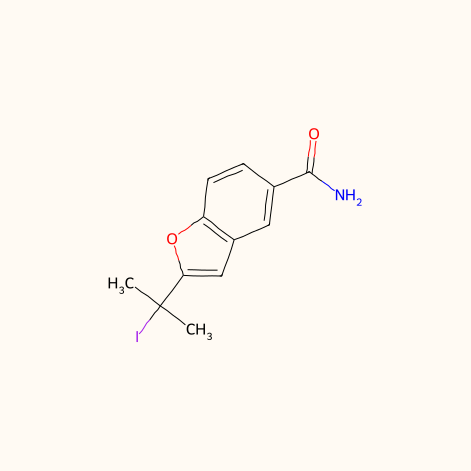 CC(C)(I)c1cc2cc(C(N)=O)ccc2o1